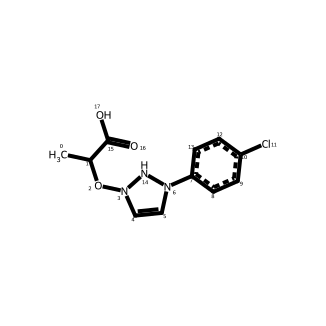 CC(ON1C=CN(c2ccc(Cl)cc2)N1)C(=O)O